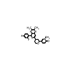 Cc1nc2cc(C3CCOC(c4ccc(=O)n(C)c4)C3)nc(-c3ccc(F)cc3F)c2nc1C